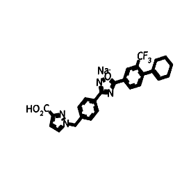 O=C(O)c1ccn(Cc2ccc(-c3noc(-c4ccc(C5=CCCCC5)c(C(F)(F)F)c4)n3)cc2)n1.[Na]